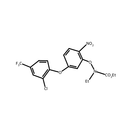 CCOC(=O)N(CC)Oc1cc(Oc2ccc(C(F)(F)F)cc2Cl)ccc1[N+](=O)[O-]